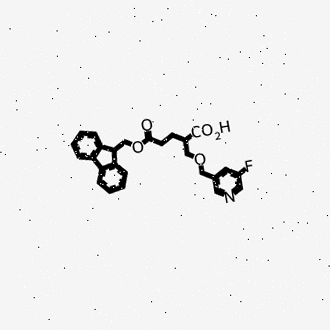 O=C(CCC(COCc1cncc(F)c1)C(=O)O)OCC1c2ccccc2-c2ccccc21